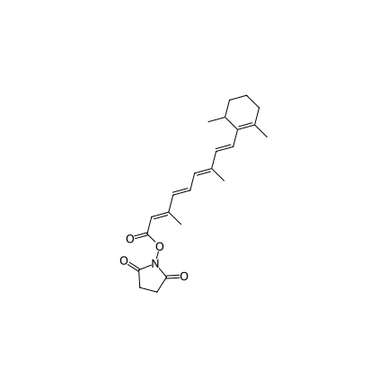 CC1=C(/C=C/C(C)=C/C=C/C(C)=C/C(=O)ON2C(=O)CCC2=O)C(C)CCC1